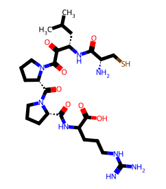 CC(C)C[C@H](NC(=O)[C@@H](N)CS)C(=O)C(=O)N1CCC[C@H]1C(=O)N1CCC[C@H]1C(=O)NC(CCCNC(=N)N)C(=O)O